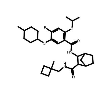 CC1CCC(Oc2cc(C(=O)NC3C4CCC(C4)C3C(=O)NCC3(C)CCC3)c(OC(C)C)cc2F)CC1